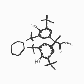 C1CCCCC1.CC(C)(C)c1cc(C(C)(C(N)=O)c2cc(C(C)(C)C)c(O)c(C(C)(C)C)c2)cc(C(C)(C)C)c1O